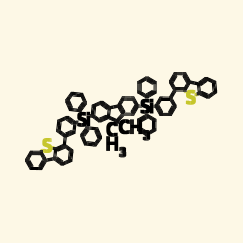 CC1(C)c2cc([Si](c3ccccc3)(c3ccccc3)c3cccc(-c4cccc5c4sc4ccccc45)c3)ccc2-c2ccc([Si](c3ccccc3)(c3ccccc3)c3cccc(-c4cccc5c4sc4ccccc45)c3)cc21